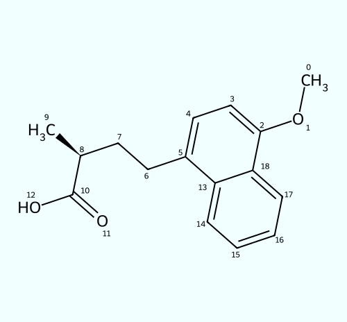 COc1ccc(CC[C@H](C)C(=O)O)c2ccccc12